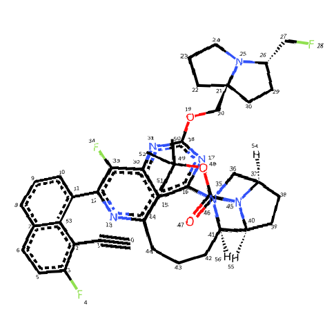 C#Cc1c(F)ccc2cccc(-c3nc4c5c(nc(OC[C@@]67CCCN6[C@H](CF)CC7)nc5c3F)N3C[C@H]5CC[C@@H]([C@H]3CCC4)N5C(=O)OC(C)(C)C)c12